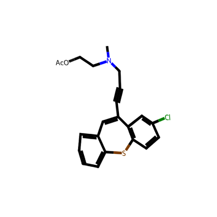 CC(=O)OCCN(C)CC#CC1=Cc2ccccc2Sc2ccc(Cl)cc21